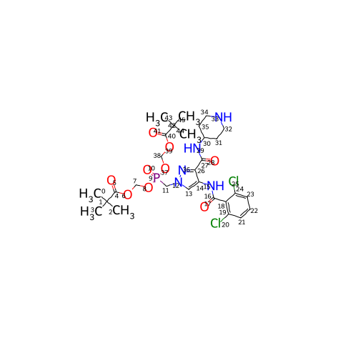 CC(C)(C)C(=O)OCOP(=O)(Cn1cc(NC(=O)c2c(Cl)cccc2Cl)c(C(=O)NC2CCNCC2)n1)OCOC(=O)C(C)(C)C